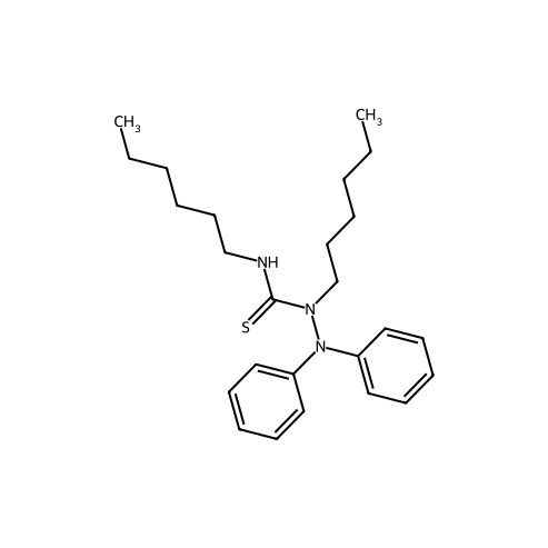 CCCCCCNC(=S)N(CCCCCC)N(c1ccccc1)c1ccccc1